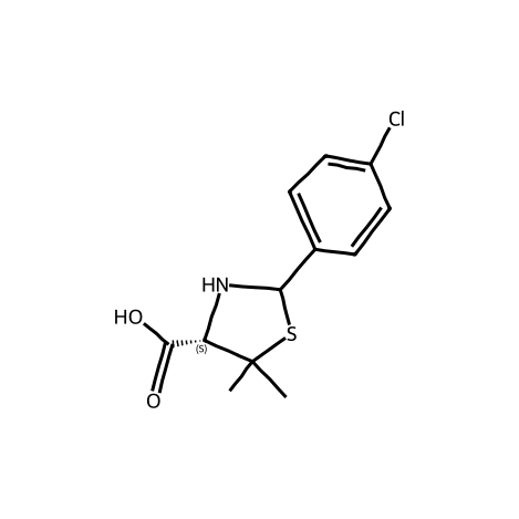 CC1(C)SC(c2ccc(Cl)cc2)N[C@H]1C(=O)O